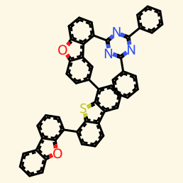 c1ccc(-c2nc(-c3ccccc3)nc(-c3cccc4oc5ccc(-c6cccc7c6sc6c(-c8cccc9c8oc8ccccc89)cccc67)cc5c34)n2)cc1